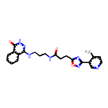 O=C(CCc1nc(-c2cnccc2C(F)(F)F)no1)NCCCNc1n[nH]c(=O)c2ccccc12